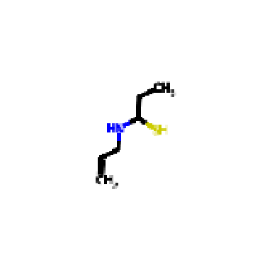 C=CCNC(S)CC